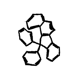 [c]1ccc2ccc3c(c2c1)C(c1ccccc1)(c1ccccc1)c1ccccc1-3